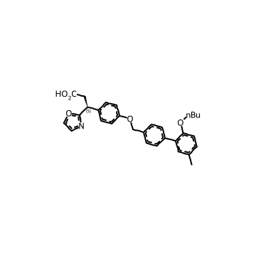 CCCCOc1ccc(C)cc1-c1ccc(COc2ccc([C@H](CC(=O)O)c3ncco3)cc2)cc1